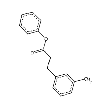 Cc1cccc(CCC(=O)Oc2ccccc2)c1